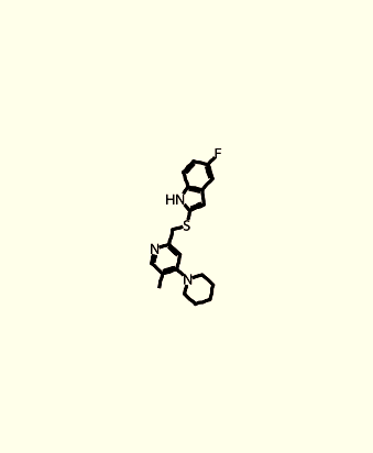 Cc1cnc(CSc2cc3cc(F)ccc3[nH]2)cc1N1CCCCC1